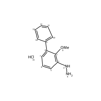 COc1c(NN)cccc1-c1ccccc1.Cl